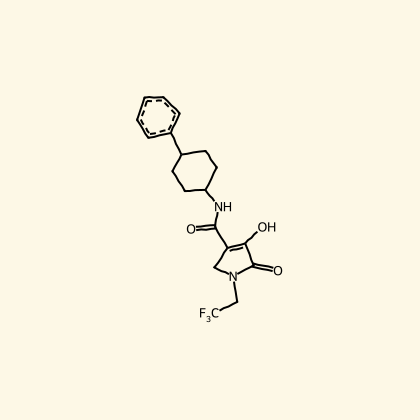 O=C(NC1CCC(c2ccccc2)CC1)C1=C(O)C(=O)N(CC(F)(F)F)C1